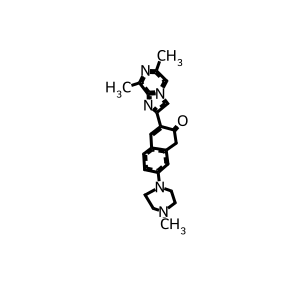 Cc1cn2cc(C3=Cc4ccc(N5CCN(C)CC5)cc4CC3=O)nc2c(C)n1